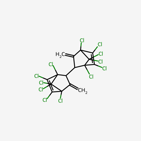 C=C1C(C2C(=C)C3(Cl)C(Cl)=C(Cl)C2(Cl)C3(Cl)Cl)C2(Cl)C(Cl)=C(Cl)C1(Cl)C2(Cl)Cl